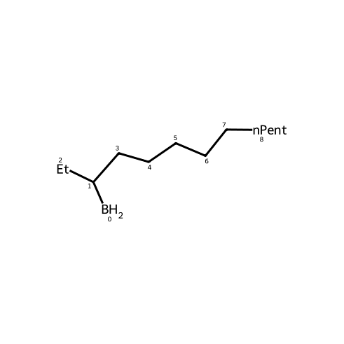 BC(CC)CCCCCCCCCC